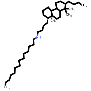 CCCCCCCCCCCCCCNCCCC[C@H]1CCCC2C3CCC(CCCC)C(C)(C)C3CC[C@@]21C